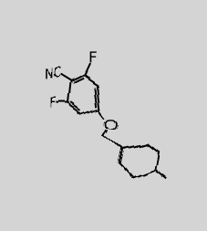 CC1CCC(COc2cc(F)c(C#N)c(F)c2)CC1